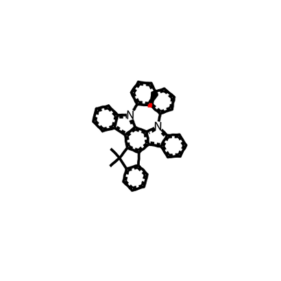 CC1(C)c2ccccc2-c2c1c1c3ccccc3n(-c3ccccc3)c1c1c2c2ccccc2n1-c1ccccc1